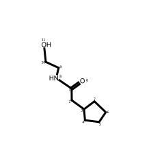 O=C(CC1CCCC1)NCCO